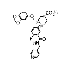 O=C(NCc1ccncc1)c1cc([C@@H]2CCN(C(=O)O)C[C@H]2COc2ccc3c(c2)OCO3)ccc1F